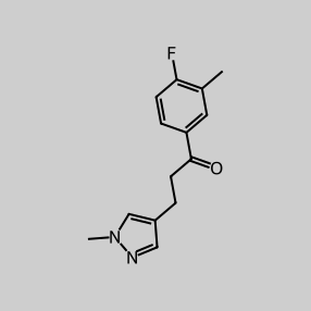 Cc1cc(C(=O)CCc2cnn(C)c2)ccc1F